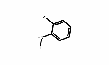 CC(C)c1ccccc1NI